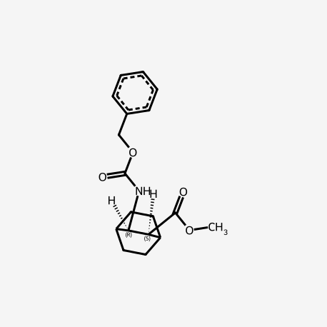 COC(=O)[C@H]1C2CCC(CC2)[C@H]1NC(=O)OCc1ccccc1